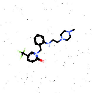 CN1CCN(CCNc2ccccc2Cn2cc(C(F)(F)F)ccc2=O)CC1